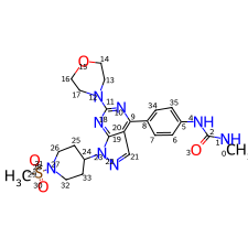 CNC(=O)Nc1ccc(-c2nc(N3CCOCC3)nc3c2cnn3C2CCN(S(C)(=O)=O)CC2)cc1